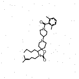 CCCCC1N(CCC=C(C)C)C(=O)OC12CCN(C1CCN(C(=O)c3c(C)cccc3C)CC1)CC2